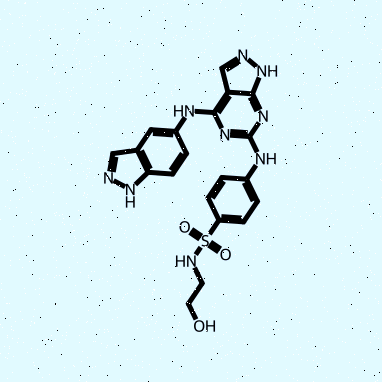 O=S(=O)(NCCO)c1ccc(Nc2nc(Nc3ccc4[nH]ncc4c3)c3cn[nH]c3n2)cc1